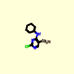 O=C(O)c1cnc(Cl)nc1NC1CCCCC1